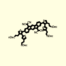 CCCCCCCCCCCCc1csc(-c2c(CCCCCCCCCCCC)csc2-c2ccc3c(c2)=C(C(C#N)C#N)c2cc4c(cc2=3)C(C(C#N)C#N)=c2cc(-c3scc(CCCCCCCCCCCC)c3-c3cc(CCCCCCCCCCCC)cs3)ccc2=4)c1